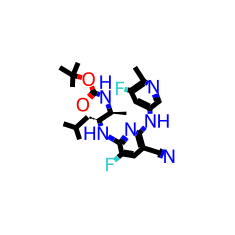 Cc1ncc(Nc2nc(N[C@H](CC(C)C)[C@H](C)NC(=O)OC(C)(C)C)c(F)cc2C#N)cc1F